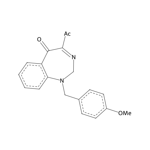 COc1ccc(CN2CN=C(C(C)=O)C(=O)c3ccccc32)cc1